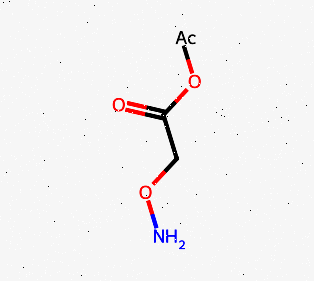 CC(=O)OC(=O)CON